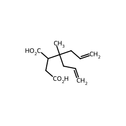 C=CCC(C)(CC=C)C(CC(=O)O)C(=O)O